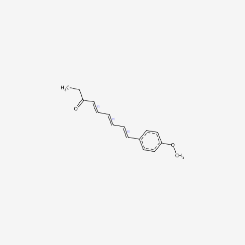 CCC(=O)/C=C/C=C/C=C/c1ccc(OC)cc1